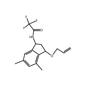 C=CCOC1CC(NC(=O)C(F)(F)F)c2cc(C)cc(C)c21